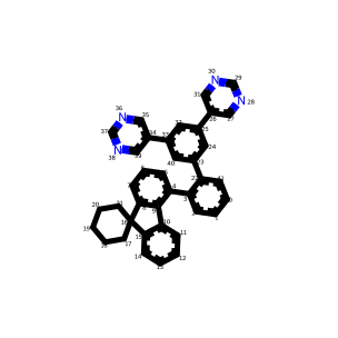 c1ccc(-c2cccc3c2-c2ccccc2C32CCCCC2)c(-c2cc(-c3cncnc3)cc(-c3cncnc3)c2)c1